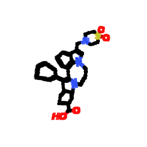 O=C(O)c1ccc2c(C3CCCCC3)c3n(c2c1)CCCn1cc(CN2CCS(=O)(=O)CC2)c2cccc-3c21